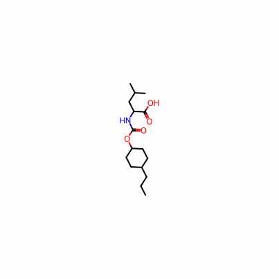 CCCC1CCC(OC(=O)NC(CC(C)C)C(=O)O)CC1